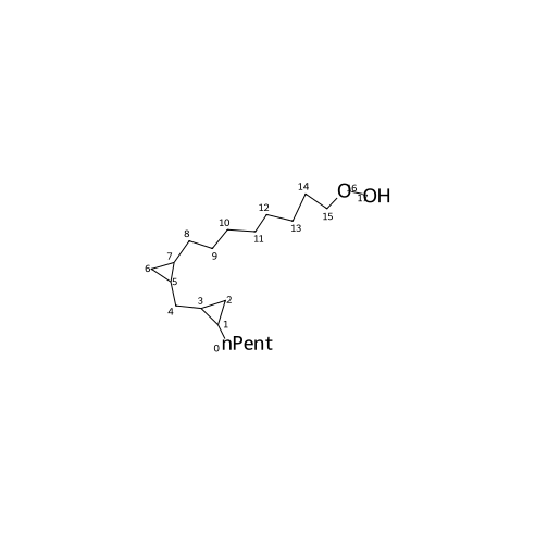 CCCCCC1CC1CC1CC1CCCCCCCCOO